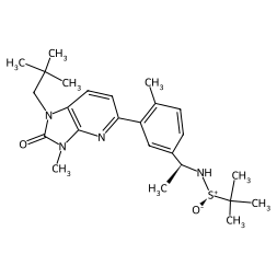 Cc1ccc([C@H](C)N[S@+]([O-])C(C)(C)C)cc1-c1ccc2c(n1)n(C)c(=O)n2CC(C)(C)C